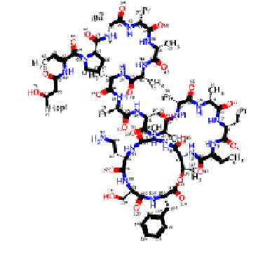 C/C=C(\NC(=O)[C@@H](CC(C)C)NC(=O)[C@@H](C)NC(=O)[C@H](NC(=O)[C@@H](C)NC(=O)[C@@H](CO)NC(=O)[C@H](NC(=O)[C@H](C)NC(=O)[C@@H](C)NC(=O)[C@@H](C)NC(=O)[C@H](NC(=O)[C@H](NC(=O)[C@H]1CCCN1C(=O)/C(=C/C)NC(=O)C[C@H](O)CCCCCCC)[C@H](C)CC)C(C)C)C(C)C)C(C)C)C(=O)N[C@H]1C(=O)N[C@@H](C)C(=O)N[C@@H](CCN)C(=O)N[C@H](CO)C(=O)N[C@@H](Cc2ccccc2)C(=O)O[C@@H]1C